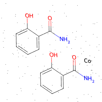 NC(=O)c1ccccc1O.NC(=O)c1ccccc1O.[Co]